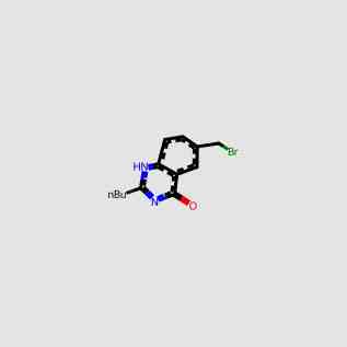 CCCCc1nc(=O)c2cc(CBr)ccc2[nH]1